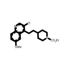 CCOC(=O)N1CCC(CCc2c(Cl)cnc3ccc(OC)cc23)CC1